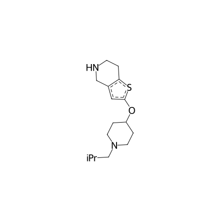 CC(C)CN1CCC(Oc2cc3c(s2)CCNC3)CC1